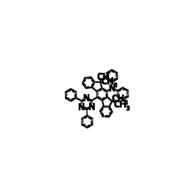 CC1(C)c2ccccc2-c2c(-c3nc(-c4ccccc4)nc(-c4ccccc4)n3)c3c(c(N(c4ccccc4)c4ccccc4)c21)C(C)(C)c1ccccc1-3